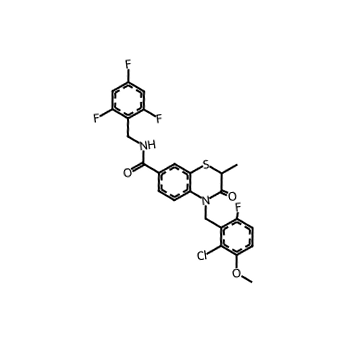 COc1ccc(F)c(CN2C(=O)C(C)Sc3cc(C(=O)NCc4c(F)cc(F)cc4F)ccc32)c1Cl